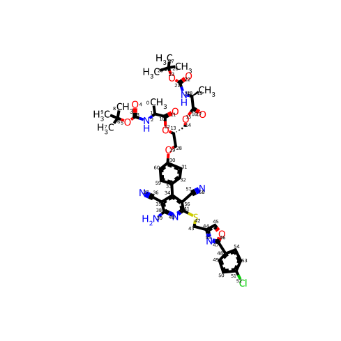 CC(NC(=O)OC(C)(C)C)C(=O)O[C@H](COC(=O)[C@H](C)NC(=O)OC(C)(C)C)COc1ccc(-c2c(C#N)c(N)nc(SCc3coc(-c4ccc(Cl)cc4)n3)c2C#N)cc1